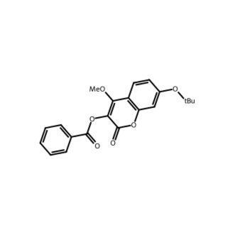 COc1c(OC(=O)c2ccccc2)c(=O)oc2cc(OC(C)(C)C)ccc12